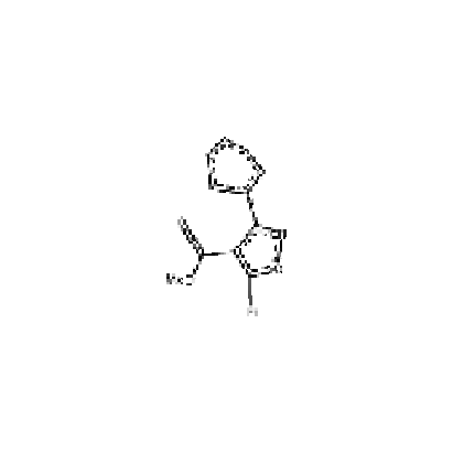 CCc1onc(-c2ccccc2)c1C(=O)OC